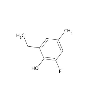 CCc1cc(C)cc(F)c1O